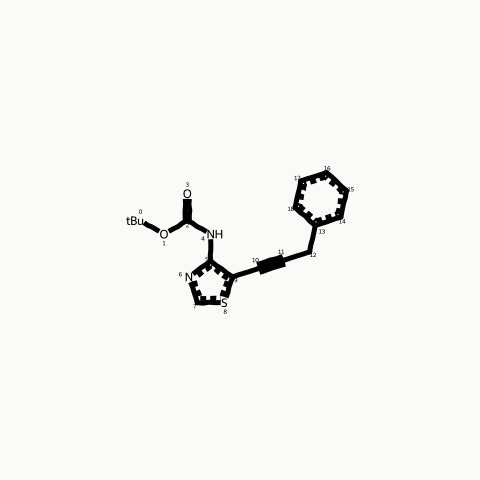 CC(C)(C)OC(=O)Nc1ncsc1C#CCc1ccccc1